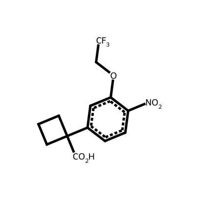 O=C(O)C1(c2ccc([N+](=O)[O-])c(OCC(F)(F)F)c2)CCC1